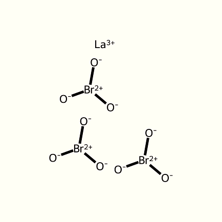 [La+3].[O-][Br+2]([O-])[O-].[O-][Br+2]([O-])[O-].[O-][Br+2]([O-])[O-]